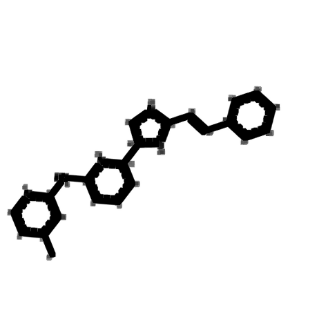 Cc1ccnc(Nc2cccc(-c3cnc(C=Cc4ccccc4)s3)n2)c1